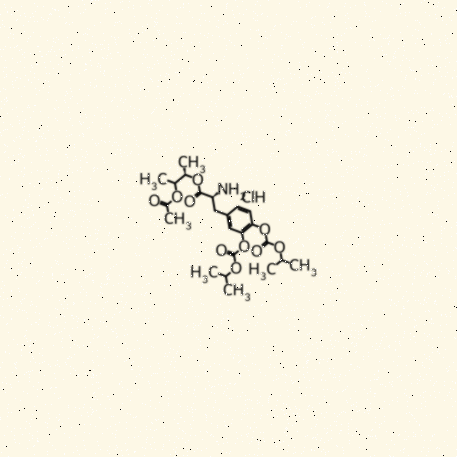 CC(=O)OC(C)[C@@H](C)OC(=O)[C@@H](N)Cc1ccc(OC(=O)OC(C)C)c(OC(=O)OC(C)C)c1.Cl